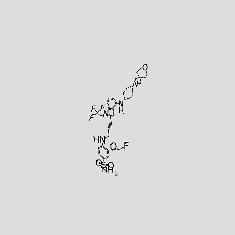 NS(=O)(=O)c1ccc(NCC#Cc2cc3c(N[C@H]4CC[C@@H](N5CC6(CCOCC6)C5)CC4)cccc3n2CC(F)(F)F)c(OCF)c1